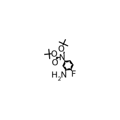 CC(C)(C)OCN(C(=O)OC(C)(C)C)c1ccc(F)c(N)c1